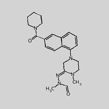 CN(C=O)/N=C1/CN(c2cccc3cc(C(=O)N4CCCCC4)ccc23)CCN1C